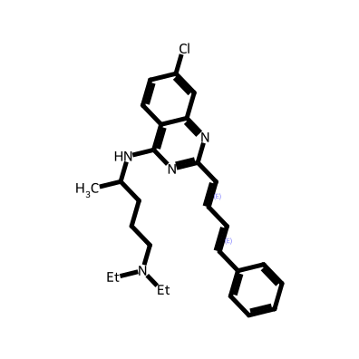 CCN(CC)CCCC(C)Nc1nc(/C=C/C=C/c2ccccc2)nc2cc(Cl)ccc12